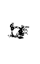 COC(=O)c1c2c3ccc(Cl)c(c3n1C)-c1c(C)nn(C34CC3C4)c1CSCc1cc(n(C)n1)CSc1cc3c(c(c1)OCCC2)NCCC3